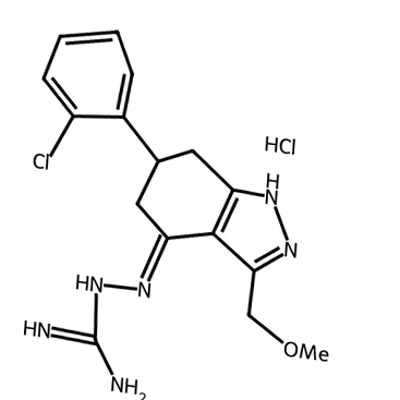 COCc1n[nH]c2c1C(=NNC(=N)N)CC(c1ccccc1Cl)C2.Cl